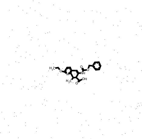 CCOc1ccc2c(n1)C(C)C(C(=O)O)C(NC(=O)OCc1ccccc1)=C2